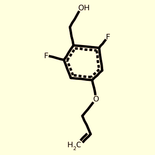 C=CCOc1cc(F)c(CO)c(F)c1